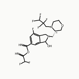 N=C(OC(=N)C(F)F)c1cc(F)c2c(c1)C(O)N(C[C@H]1COCCN1CC(F)(F)C(F)F)C2